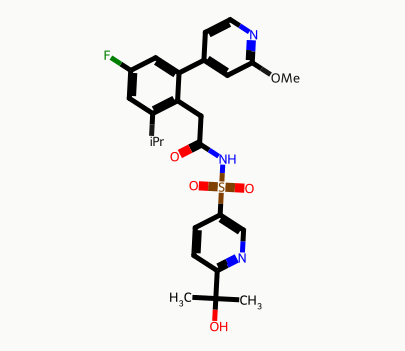 COc1cc(-c2cc(F)cc(C(C)C)c2CC(=O)NS(=O)(=O)c2ccc(C(C)(C)O)nc2)ccn1